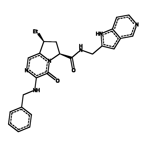 CC[C@H]1C[C@@H](C(=O)NCc2cc3cnccc3[nH]2)n2c1cnc(NCc1ccccc1)c2=O